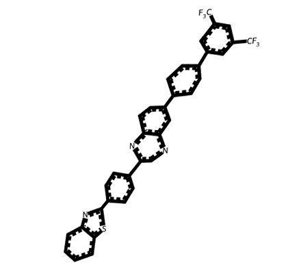 FC(F)(F)c1cc(-c2ccc(-c3ccc4nc(-c5ccc(-c6nc7ccccc7s6)cc5)cnc4c3)cc2)cc(C(F)(F)F)c1